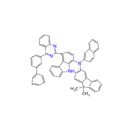 CC1(C)c2ccccc2-c2cc(N(c3ccc4ccccc4c3)c3ccc(-c4nc(-c5cccc(-c6ccccc6)c5)c5ccccc5n4)c4c3[nH]c3ccccc34)ccc21